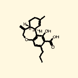 C=C1COc2cc(CCC)c(C(=O)O)c(O)c2[C@@H]2C=C(C)CC[C@@H]12